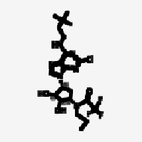 CCCN(C(=O)C(F)(F)F)[C@H]1C[C@@H](n2cnc3c(NCCC(C)(C)C)nc(Cl)nc32)[C@H](O)[C@@H]1O